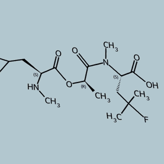 CN[C@@H](CC1CC1)C(=O)O[C@H](C)C(=O)N(C)[C@@H](CC(C)(C)F)C(=O)O